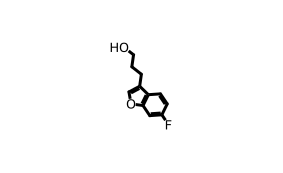 OCCCc1coc2cc(F)ccc12